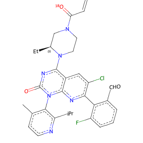 C=CC(=[18O])N1CCN(c2nc(=O)n(-c3c(C)ccnc3C(C)C)c3nc(-c4c(F)cccc4C=O)c(Cl)cc23)[C@@H](CC)C1